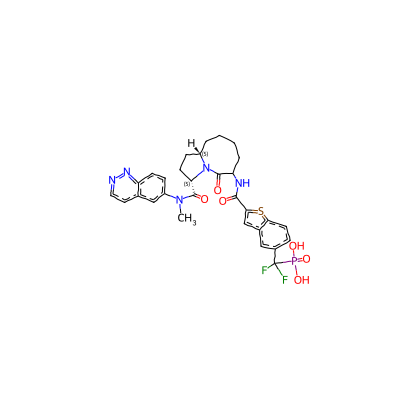 CN(C(=O)[C@@H]1CC[C@@H]2CCCCC(NC(=O)c3cc4cc(C(F)(F)P(=O)(O)O)ccc4s3)C(=O)N21)c1ccc2nnccc2c1